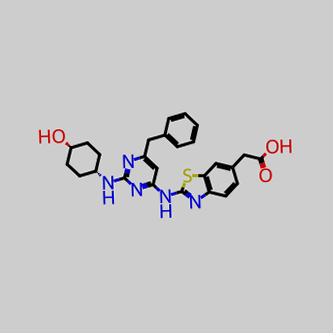 O=C(O)Cc1ccc2nc(Nc3cc(Cc4ccccc4)nc(N[C@H]4CC[C@H](O)CC4)n3)sc2c1